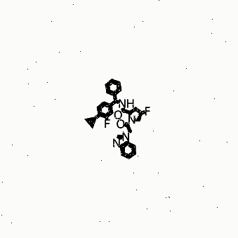 O=C(NC(c1ccccc1)c1ccc(C2CC2)c(F)c1)C1CC(F)CN1C(=O)Cn1cnc2ccccc21